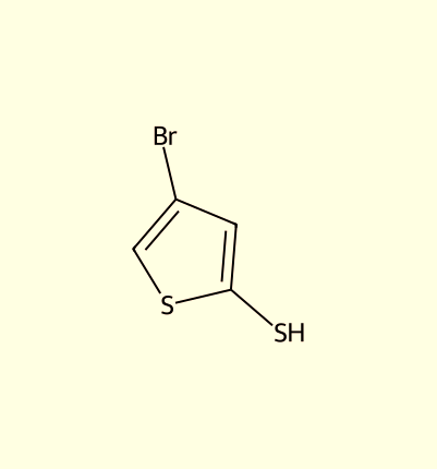 Sc1cc(Br)cs1